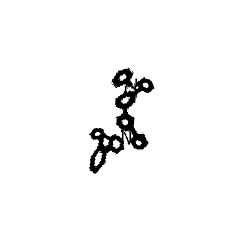 C1=Cc2c(c3c(c4ccccc24)C=C(n2c4ccccc4c4cc(-c5ccc6c(c5)c5ccccc5n6-c5ccccc5)ccc42)CC3)CC1